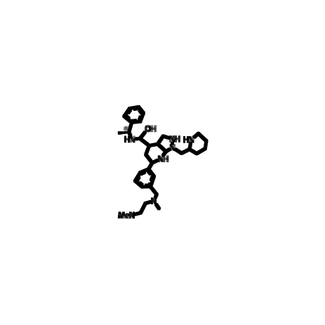 CNCCN(C)Cc1cccc(C2CC(C(O)N[C@@H](C)c3ccccc3)C3CNN(CC4CCCCN4)C3N2)c1